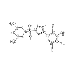 C[C@@H]1CN(S(=O)(=O)c2coc(-c3cc(F)c(F)c(O)c3F)c2)C[C@H](C)O1